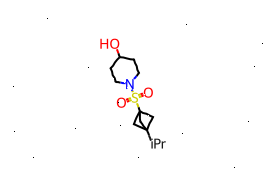 CC(C)C12CC(S(=O)(=O)N3CCC(O)CC3)(C1)C2